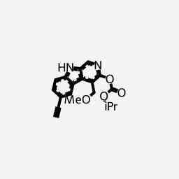 C#Cc1ccc2[nH]c3cnc(OC(=O)OC(C)C)c(COC)c3c2c1